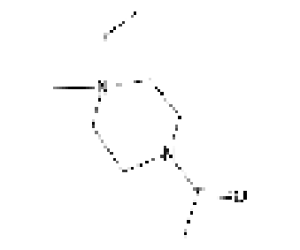 CC[N+]1(C)CCN(C(C)=O)CC1